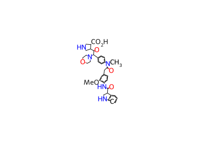 COc1cc(CC(=O)N(C)c2ccc(C(C(=O)C3CNCC3C(=O)O)N3CCOCC3)cc2)ccc1NC(=O)C1CNc2ccccc21